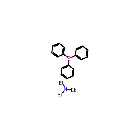 CCN(CC)CC.c1ccc(P(c2ccccc2)c2ccccc2)cc1